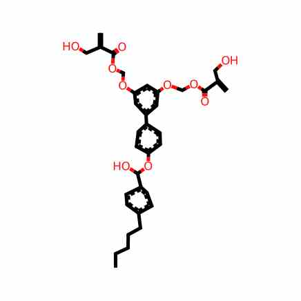 C=C(CO)C(=O)OCOc1cc(OCOC(=O)C(=C)CO)cc(-c2ccc(OC(O)c3ccc(CCCCC)cc3)cc2)c1